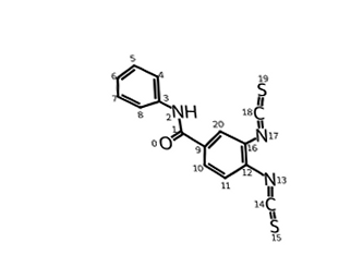 O=C(Nc1ccccc1)c1ccc(N=C=S)c(N=C=S)c1